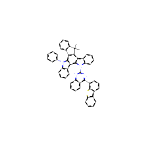 CC1(C)c2ccccc2-c2c1c1c3ccccc3n(-c3nc(-c4cccc5c4sc4ccccc45)c4ccccc4n3)c1c1c3ccccc3n(-c3ccccc3)c21